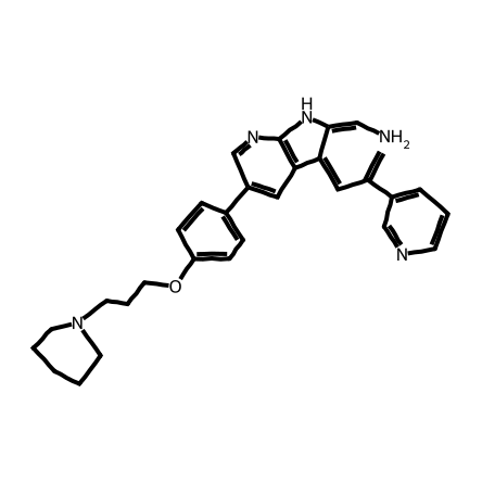 C=C(/C=c1\c(=C/N)[nH]c2ncc(-c3ccc(OCCCN4CCCCC4)cc3)cc12)c1cccnc1